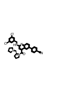 N#Cc1ccc(-c2ccc3nc(NCc4cc(Cl)cc(Cl)c4)cc(C(=O)N4CCC[C@H]4CN4CCCC4)c3c2)cc1